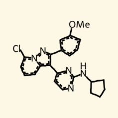 COc1cccc(-c2nn3c(Cl)cccc3c2-c2ccnc(NC3CCCC3)n2)c1